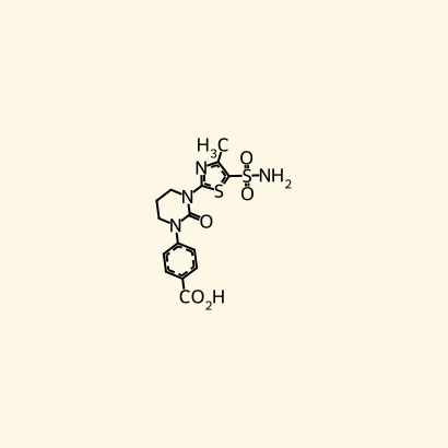 Cc1nc(N2CCCN(c3ccc(C(=O)O)cc3)C2=O)sc1S(N)(=O)=O